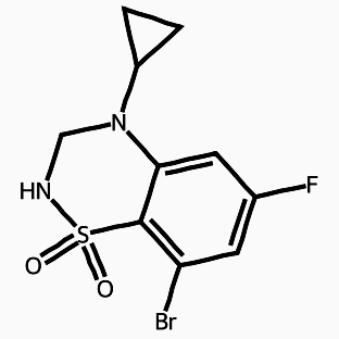 O=S1(=O)NCN(C2CC2)c2cc(F)cc(Br)c21